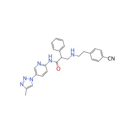 Cc1cn(-c2ccc(NC(=O)C(CNCCc3ccc(C#N)cc3)c3ccccc3)nc2)nn1